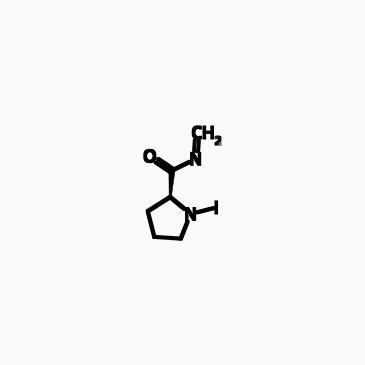 C=NC(=O)[C@@H]1CCCN1I